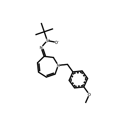 COc1ccc(CN2C=CC=CC(=N[S+]([O-])C(C)(C)C)C2)cc1